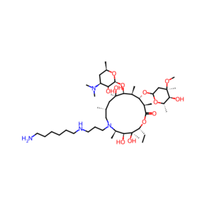 CC[C@H]1OC(=O)[C@H](C)[C@@H](OC2C[C@@](C)(OC)[C@@H](O)[C@H](C)O2)[C@H](C)[C@H](O[C@@H]2O[C@H](C)C[C@H](N(C)C)C2O)[C@](C)(O)C[C@@H](C)CN(CCCNCCCCCCN)[C@H](C)[C@H](O)[C@]1(C)O